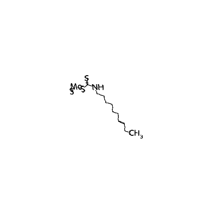 CCCCCCCCCCNC(=S)[S][Mo]=[S]